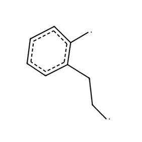 [CH2]CCc1ccccc1[CH2]